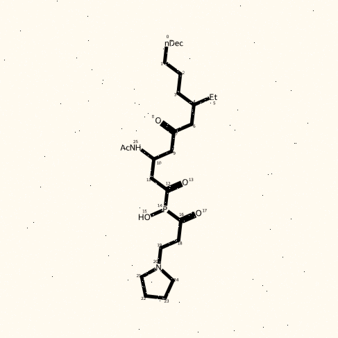 CCCCCCCCCCCCCC(CC)CC(=O)CC(CC(=O)P(O)C(=O)CCN1CCCC1)NC(C)=O